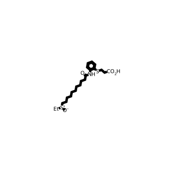 CC[S+]([O-])CCCCCCCCCCC(=O)Nc1ccccc1SCCC(=O)O